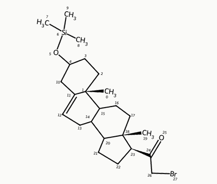 C[C@]12CCC(O[Si](C)(C)C)CC1=CCC1C2CC[C@@]2(C)C1CC[C@@H]2C(=O)CBr